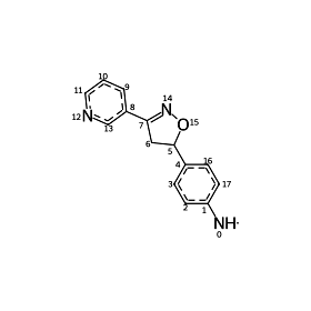 [NH]c1ccc(C2CC(c3cccnc3)=NO2)cc1